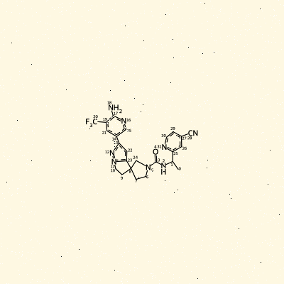 CC(NC(=O)N1CCC2(CCn3nc(-c4cnc(N)c(C(F)(F)F)c4)cc32)C1)c1cc(C#N)ccn1